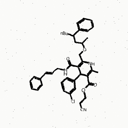 CCCCC(CC(C)OCC1=C(C(=O)NCC=Cc2ccccc2)C(c2cccc(Cl)c2)C(C(=O)OCCC#N)=C(C)N1)c1ccccc1